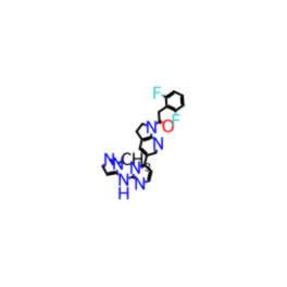 Cn1nccc1Nc1nccc(-c2cnc3c(c2)CCN3C(=O)Cc2c(F)cccc2F)n1